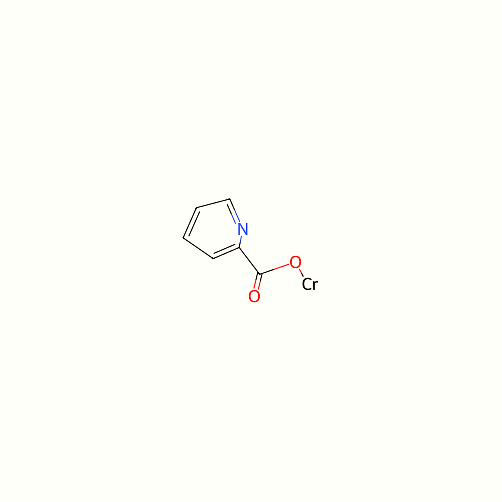 O=C([O][Cr])c1ccccn1